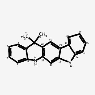 CC1(C)c2ccccc2Nc2cc3sc4ccccc4c3cc21